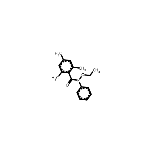 CCOP(C(=O)c1c(C)cc(C)cc1C)c1ccccc1